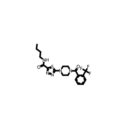 CCCCNC(=O)c1nnc(N2CCN(C(=O)c3ccccc3C(F)(F)F)CC2)s1